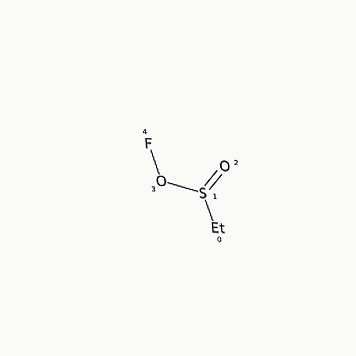 CCS(=O)OF